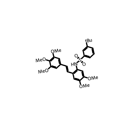 COc1cc(C=Cc2cc(OC)c(OC)c(OC)c2)c(NS(=O)(=O)c2cccc(C(C)(C)C)c2)cc1OC